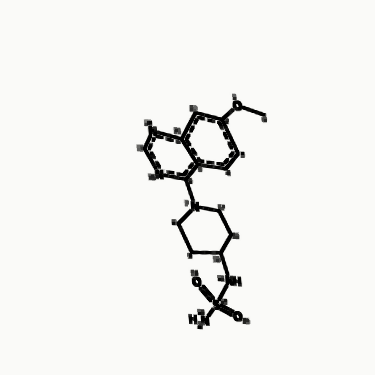 COc1ccc2c(N3CCC(NS(N)(=O)=O)CC3)ncnc2c1